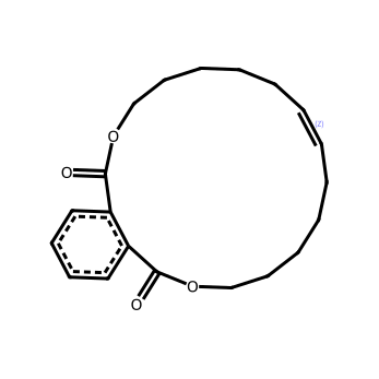 O=C1OCCCCC/C=C\CCCCCOC(=O)c2ccccc21